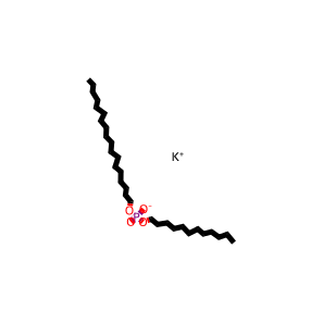 CCCCCCCCCCCCCCCCCCOP(=O)([O-])OCCCCCCCCCCCC.[K+]